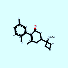 CSC1(C2CC(=O)C(c3cc(C)ccc3C)=C(C)C2)CCC1